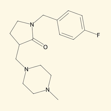 CN1CCN(CC2CCN(Cc3ccc(F)cc3)C2=O)CC1